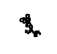 CCN(C)CCN(C)c1ccc(CN2C(=O)C(CC3CCCCC3)n3c2nc2ccccc2c3=O)cc1